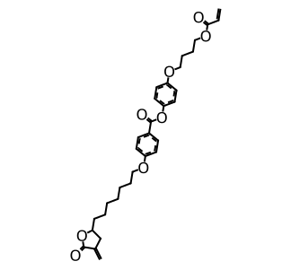 C=CC(=O)OCCCCOc1ccc(OC(=O)c2ccc(OCCCCCCCC3CC(=C)C(=O)O3)cc2)cc1